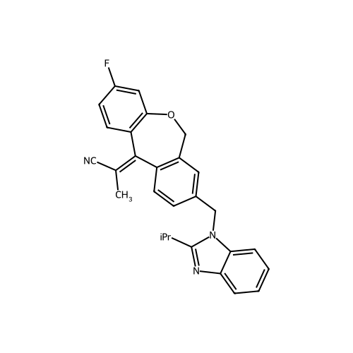 CC(C#N)=C1c2ccc(Cn3c(C(C)C)nc4ccccc43)cc2COc2cc(F)ccc21